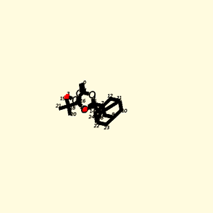 C=C(OC)OC(=O)C12CC3CC(C1)C(COC(=O)C(C)(C)C)C(C3)C2